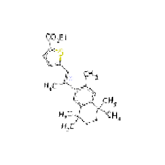 CCOC(=O)c1ccc(/C=C(\C)c2cc3c(cc2C)C(C)(C)CCC3(C)C)s1